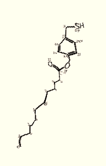 CCCCCCCCCCCC(=O)Oc1ccc(CS)cc1